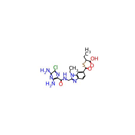 CCC(SC(=O)c1ccc2nc(CNC(=O)c3nc(Cl)c(N)nc3N)n(CC)c2c1)C(=O)O